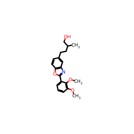 COc1cccc(-c2nc3cc(CC[C](C)CO)ccc3o2)c1OC